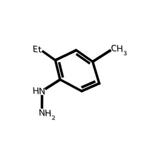 CCc1cc(C)ccc1NN